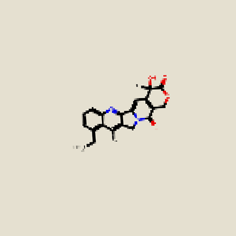 CCc1c2c(nc3cccc(CC(=O)O)c13)-c1cc3c(c(=O)n1C2)COC(=O)C3(O)CC